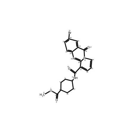 COC(=O)C1CCC(NC(=O)c2cccn3c(=O)c4cc(Br)ccc4nc23)CC1